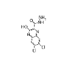 NNC(=O)c1nc2cc(Cl)c(Cl)cc2nc1O